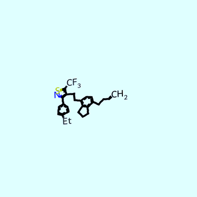 C=CCCc1ccc(CCc2c(-c3ccc(CC)cc3)nsc2C(F)(F)F)c2c1CCC2